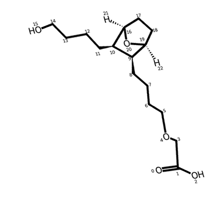 O=C(O)COCCCC[C@H]1[C@@H](CCCCO)[C@H]2CC[C@@H]1O2